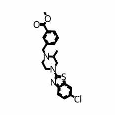 COC(=O)c1cccc(CN2CCN(c3nc4ccc(Cl)cc4s3)CC2C)c1